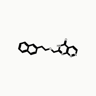 O=c1[nH]c(COCCc2ccc3ccccc3c2)nc2nnccc12